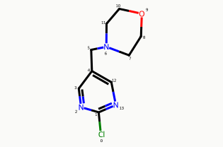 Clc1ncc(CN2CCOCC2)cn1